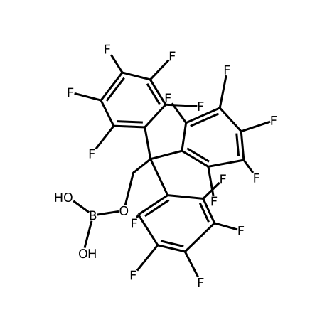 OB(O)OCC(c1c(F)c(F)c(F)c(F)c1F)(c1c(F)c(F)c(F)c(F)c1F)c1c(F)c(F)c(F)c(F)c1F